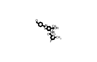 Cc1cc(F)cc(C(=O)Nc2cc3sc(C4CCC(C=O)CC4)nc3cc2C(C)(C)O)n1